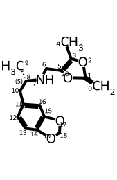 C=C1OC(C)=C(CN[C@@H](C)Cc2ccc3c(c2)OCO3)O1